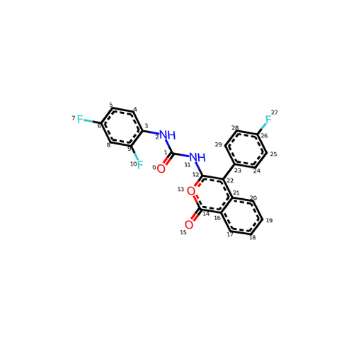 O=C(Nc1ccc(F)cc1F)Nc1oc(=O)c2ccccc2c1-c1ccc(F)cc1